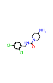 NC1CCN(C(=O)NCc2ccc(Cl)cc2Cl)CC1